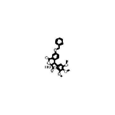 COc1cc(C2c3ccc(OCc4ccccc4)cc3C(=O)OC2(O)C(=O)O)cc(OC)c1OC